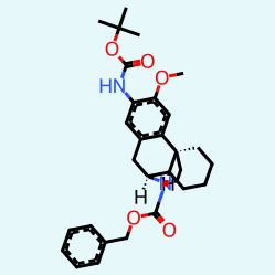 COc1cc2c(cc1NC(=O)OC(C)(C)C)C[C@H]1[C@H]3CCCC[C@@]23CCN1C(=O)OCc1ccccc1